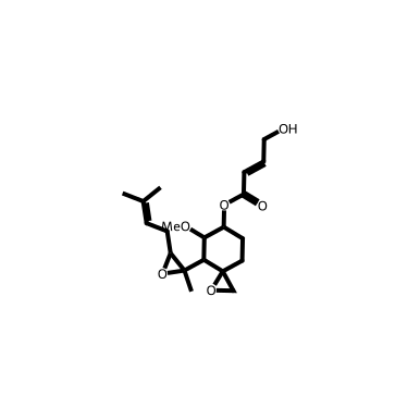 COC1C(OC(=O)/C=C/CO)CCC2(CO2)C1C1(C)OC1CC=C(C)C